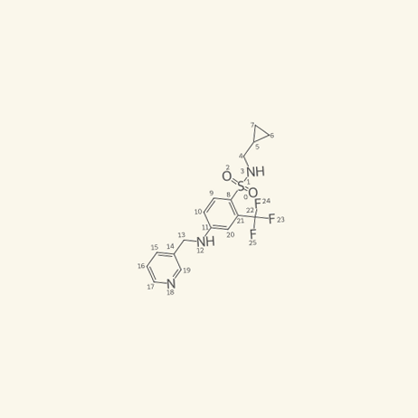 O=S(=O)(NCC1CC1)c1ccc(NCc2cccnc2)cc1C(F)(F)F